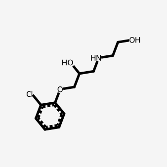 OCCNCC(O)COc1ccccc1Cl